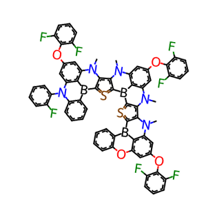 CN1c2cc(Oc3c(F)cccc3F)cc3c2B(c2ccccc2O3)c2sc3c(c21)N(C)c1cc(Oc2c(F)cccc2F)cc2c1B3c1sc3c(c1N2C)N(C)c1cc(Oc2c(F)cccc2F)cc2c1B3c1ccccc1N2c1ccccc1F